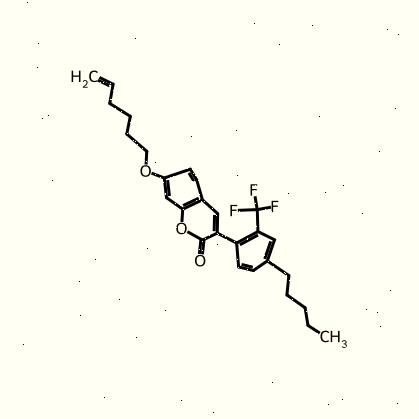 C=CCCCCOc1ccc2cc(-c3ccc(CCCCC)cc3C(F)(F)F)c(=O)oc2c1